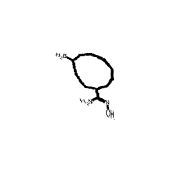 BC1CCCCCCC(/C(N)=N/O)CC1